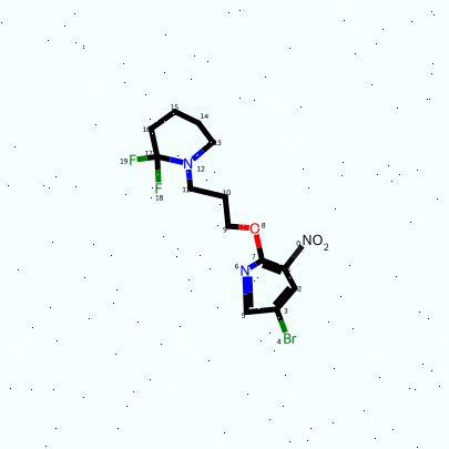 O=[N+]([O-])c1cc(Br)cnc1OCCCN1CCCCC1(F)F